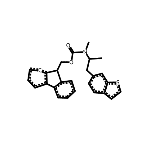 CC(Cc1ccc2ccsc2c1)N(C)C(=O)OCC1c2ccccc2-c2ccccc21